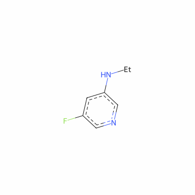 CCNc1cncc(F)c1